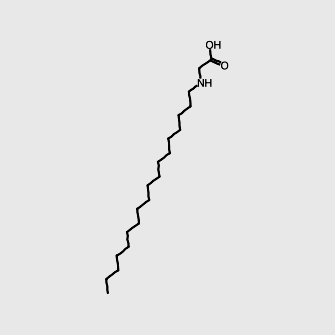 CCCCCCCCCCCCCCCCCCNCC(=O)O